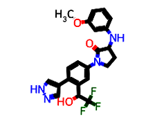 COc1cccc(NC2CCN(c3ccc(-c4cn[nH]c4)c(C(O)C(F)(F)F)c3)C2=O)c1